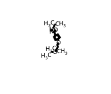 CCOC(C)(C)CCOc1ccc(-c2nnc(C(C)C)o2)cc1